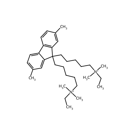 CC[N+](C)(C)CCCCCC1(CCCCC[N+](C)(C)CC)c2cc(C)ccc2-c2ccc(C)cc21